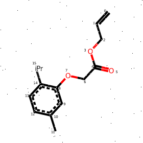 C=CCOC(=O)COc1cc(C)ccc1C(C)C